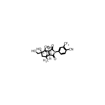 CC12C[C@](O)(CO)C(C)(O1)[C@@]1(C)C(=O)N(c3ccc(C#N)c(C(F)(F)F)c3)C(=O)[C@@H]21